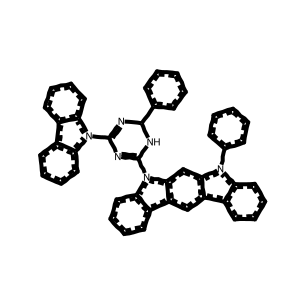 c1ccc(C2N=C(n3c4ccccc4c4ccccc43)N=C(n3c4ccccc4c4cc5c6ccccc6n(-c6ccccc6)c5cc43)N2)cc1